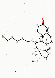 CC(=O)O[C@H]1CC[C@H]2[C@@H]3CCC4=CC(=O)CCC4=C3[C@@H](CCCCCCBr)C[C@]12C